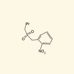 CC(C)CS(=O)(=O)Cc1ccccc1[N+](=O)[O-]